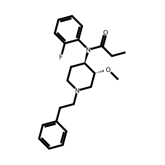 CCC(=O)N(c1ccccc1F)[C@@H]1CCN(CCc2ccccc2)C[C@H]1OC